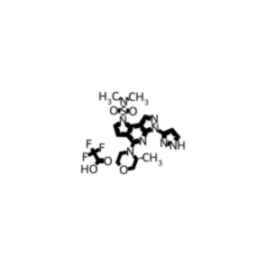 C[C@@H]1COCCN1c1nc2c(cnn2-c2cc[nH]n2)c2c1ccn2S(=O)(=O)N(C)C.O=C(O)C(F)(F)F